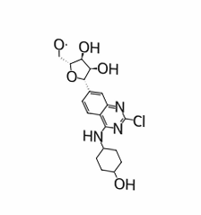 [O]C[C@H]1O[C@@H](c2ccc3c(NC4CCC(O)CC4)nc(Cl)nc3c2)[C@H](O)[C@@H]1O